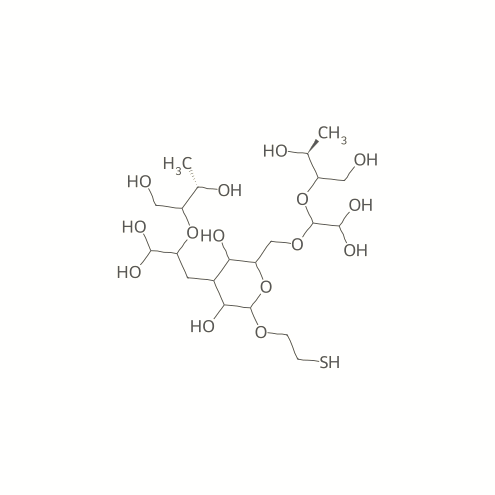 C[C@H](O)C(CO)OC(CC1C(O)C(COC(OC(CO)[C@H](C)O)C(O)O)OC(OCCS)C1O)C(O)O